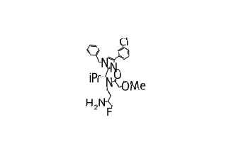 COCC(=O)N(CC[C@H](N)CF)[C@@H](c1nc(-c2cccc(Cl)c2)cn1Cc1ccccc1)C(C)C